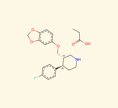 CCC(=O)O.Fc1ccc([C@@H]2CCNC[C@H]2COc2ccc3c(c2)OCO3)cc1